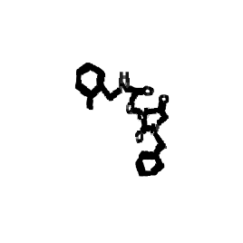 Cc1ccccc1CNC(=O)ON1C(=O)CN(Cc2ccccc2)C1=O